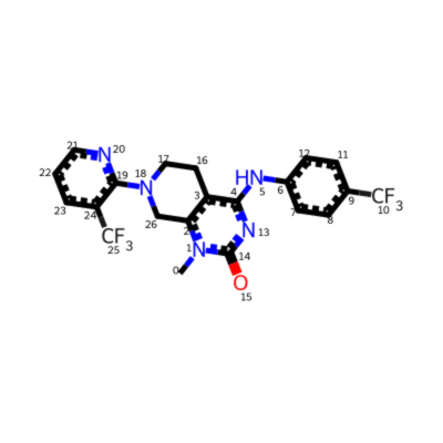 Cn1c2c(c(Nc3ccc(C(F)(F)F)cc3)nc1=O)CCN(c1ncccc1C(F)(F)F)C2